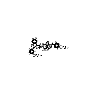 COc1ccc(CN2CCC3(CCN(CCC(NC(=O)c4cccc(OC)c4)c4ccccc4)CC3)C2=O)cc1